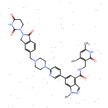 CCCc1cc(C)[nH]c(=O)c1CNC(=O)c1cc(-c2ccc(N3CCN(Cc4ccc5c(c4)CN(N4CCC(=O)NC4=O)C5=O)CC3)nc2)cc2c1cnn2C(C)C